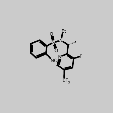 CCN([C@H](C)c1ncc(C(F)(F)F)cc1F)S(=O)(=O)c1ccccc1[N+](=O)[O-]